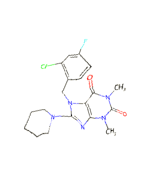 Cn1c(=O)c2c(nc(N3CCCCC3)n2Cc2ccc(F)cc2Cl)n(C)c1=O